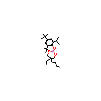 CCCCC1(CC)COP(Oc2c(C(C)C)cc(C(C)(C)C)cc2C(C)(C)C)OC1